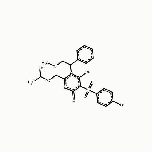 COCC(c1ccccc1)n1c(COC(C)C)nc(=O)c(S(=O)(=O)c2ccc(Br)cc2)c1O